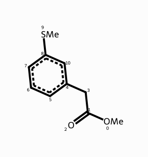 COC(=O)Cc1cccc(SC)c1